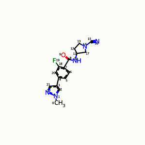 Cn1cc(-c2ccc(C(=O)NC3CCN(C#N)C3)c(F)c2)cn1